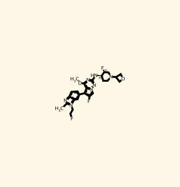 COc1nc(N[C@@H]2CCN(C3COC3)C[C@@H]2F)nn2cc(F)c(-c3ccc4nc(C)n(CCF)c4c3)c12